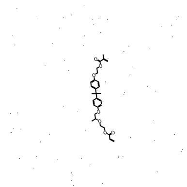 C=CC(=O)OCCOC(C)COc1ccc(C(C)(C)c2ccc(OCCOC(=O)C(=C)C)cc2)cc1